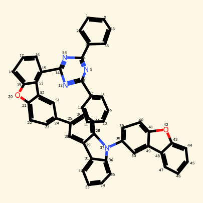 c1ccc(-c2nc(-c3ccccc3)nc(-c3cccc4oc5ccc(-c6ccc7c(c6)c6ccccc6n7-c6ccc7oc8ccccc8c7c6)cc5c34)n2)cc1